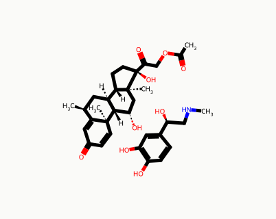 CC(=O)OCC(=O)[C@@]1(O)CC[C@H]2[C@@H]3C[C@H](C)C4=CC(=O)C=C[C@]4(C)[C@H]3[C@@H](O)C[C@@]21C.CNC[C@H](O)c1ccc(O)c(O)c1